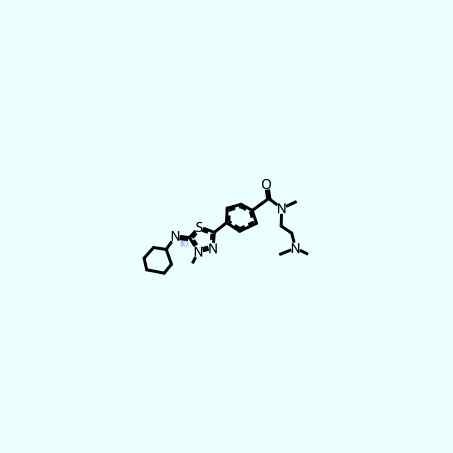 CN(C)CCN(C)C(=O)c1ccc(-c2nn(C)/c(=N\C3CCCCC3)s2)cc1